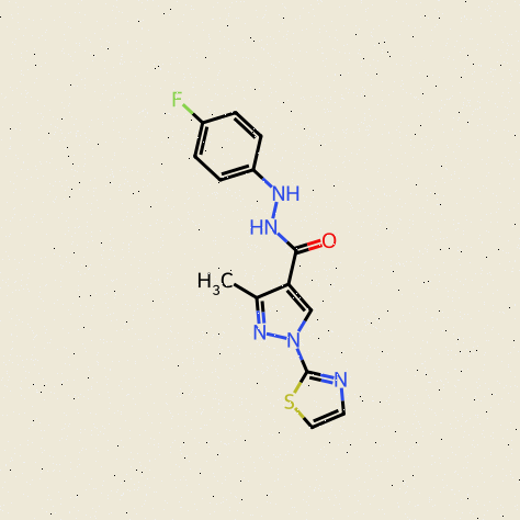 Cc1nn(-c2nccs2)cc1C(=O)NNc1ccc(F)cc1